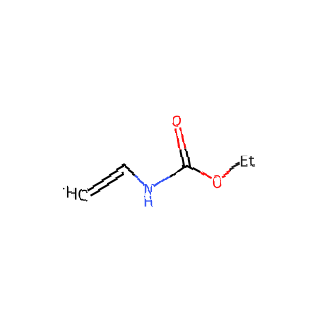 [CH]=CNC(=O)OCC